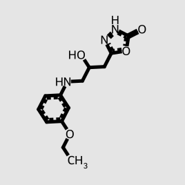 CCOc1cccc(NCC(O)Cc2n[nH]c(=O)o2)c1